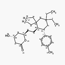 CCC1(CC)C[C@H](c2ccc(C)cc2)[C@@H](CC[C@@H]2C[C@@H](O)CC(=O)O2)C(CC)(CC)C1